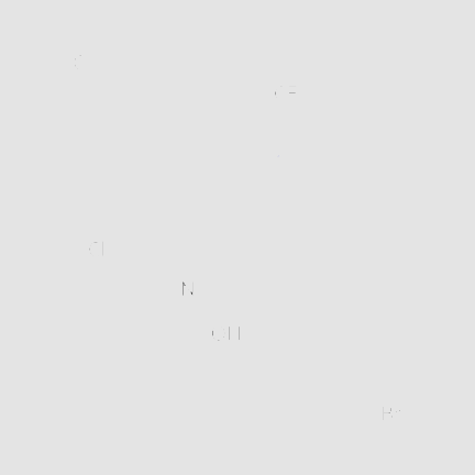 O/N=C\C(/C=C(\c1cc(Cl)cc(Cl)c1)C(F)(F)F)c1ccc(Br)cc1